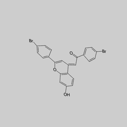 O=C(C=C1C=C(c2ccc(Br)cc2)Oc2cc(O)ccc21)c1ccc(Br)cc1